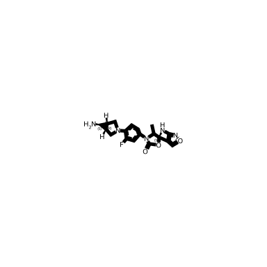 CC1N(c2ccc(N3C[C@@H]4[C@@H](N)[C@@H]4C3)c(F)c2)C(=O)O[C@]12Nc1nocc12